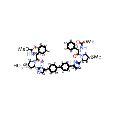 COC(=O)N[C@H](C(=O)N1C[C@@H](SC)C[C@H]1c1ncc(-c2ccc(-c3ccc(-c4cnc([C@@H]5C[C@H](S(=O)(=O)O)CN5C(=O)[C@@H](NC(=O)OC)c5ccccc5)[nH]4)cc3)cc2)[nH]1)c1ccccc1